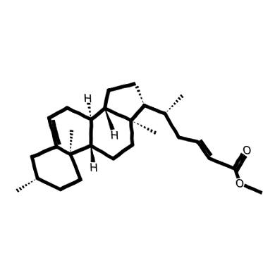 COC(=O)/C=C/C[C@@H](C)[C@H]1CC[C@H]2[C@@H]3CC=C4C[C@@H](C)CC[C@]4(C)[C@H]3CC[C@]12C